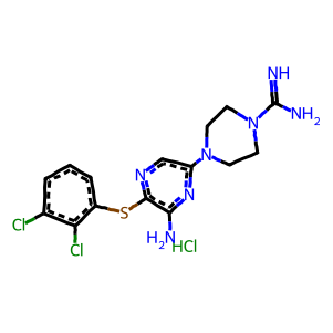 Cl.N=C(N)N1CCN(c2cnc(Sc3cccc(Cl)c3Cl)c(N)n2)CC1